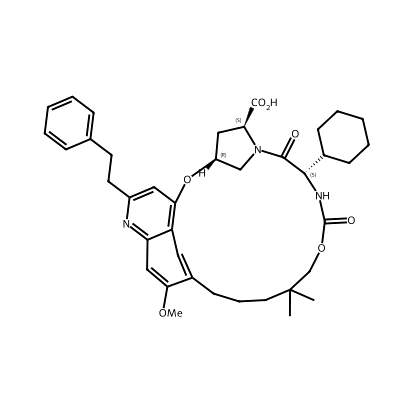 COc1cc2nc(CCc3ccccc3)cc3c2cc1CCCC(C)(C)COC(=O)N[C@@H](C1CCCCC1)C(=O)N1C[C@@H](C[C@H]1C(=O)O)O3